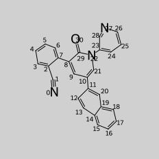 N#Cc1ccccc1-c1cc(-c2ccc3ccccc3c2)cn(-c2cccnc2)c1=O